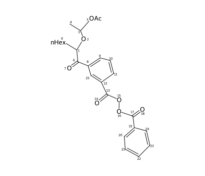 CCCCCCC(OC(C)OC(C)=O)C(=O)c1cccc(C(=O)OOC(=O)c2ccccc2)c1